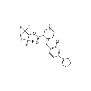 O=C(OC(C(F)(F)F)C(F)(F)F)C1CNCCN1Cc1ccc(N2CCCC2)cc1Cl